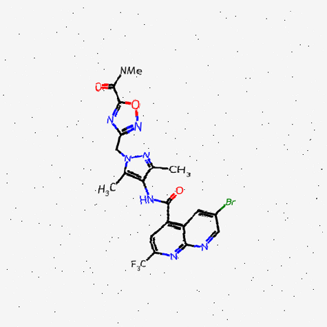 CNC(=O)c1nc(Cn2nc(C)c(NC(=O)c3cc(C(F)(F)F)nc4ncc(Br)cc34)c2C)no1